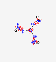 O=C(NCCCCCCn1c(=O)n(CCCCCCNC(=O)OCCN2C(=O)NC(=O)C(Cc3ccccc3)C2=O)c(=O)n(CCCCCCNC(=O)OCCN2C(=O)NC(=O)C(Cc3ccccc3)C2=O)c1=O)OCCN1C(=O)NC(=O)C(Cc2ccccc2)C1=O